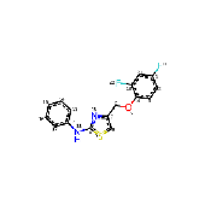 Fc1ccc(OCc2csc(Nc3ccccc3)n2)c(F)c1